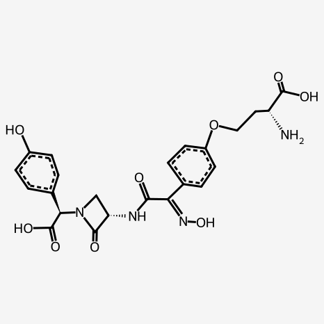 N[C@H](CCOc1ccc(/C(=N\O)C(=O)N[C@H]2CN([C@@H](C(=O)O)c3ccc(O)cc3)C2=O)cc1)C(=O)O